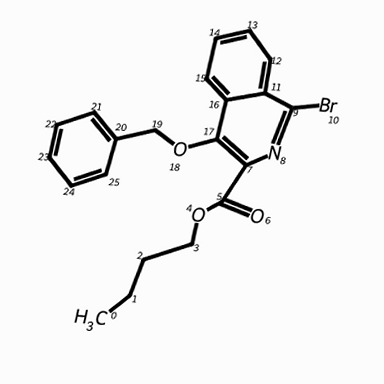 CCCCOC(=O)c1nc(Br)c2ccccc2c1OCc1ccccc1